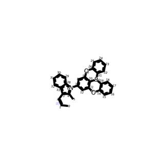 C/C=C\c1c(C)n(-c2cc3c4c(c2)Oc2ccccc2B4c2ccccc2O3)c2ccccc12